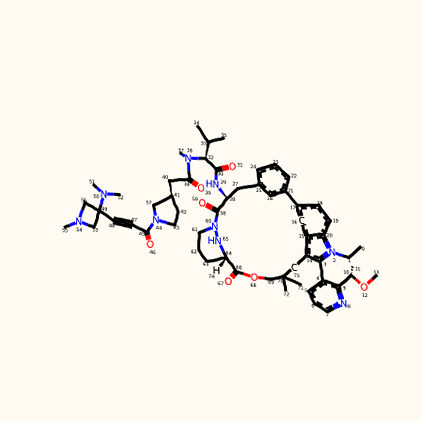 CCn1c(-c2cccnc2[C@H](C)OC)c2c3cc(ccc31)-c1cccc(c1)C[C@H](NC(=O)[C@H](C(C)C)N(C)C(=O)C[C@H]1CCN(C(=O)C#CC3(N(C)C)CN(C)C3)C1)C(=O)N1CCC[C@H](N1)C(=O)OCC(C)(C)C2